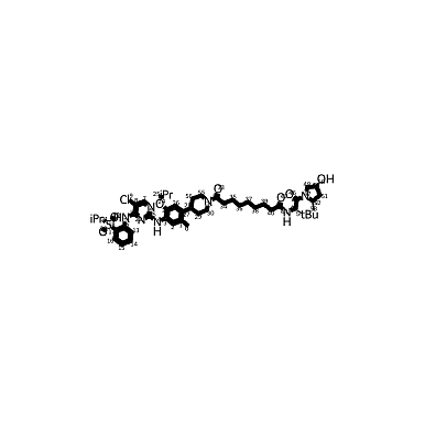 Cc1cc(Nc2ncc(Cl)c(Nc3ccccc3S(=O)(=O)C(C)C)n2)c(OC(C)C)cc1C1CCN(C(=O)CCCCCCCC(=O)N[C@H](C(=O)N2C[C@H](O)C[C@H]2C)C(C)(C)C)CC1